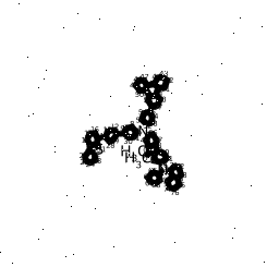 CC1(C)c2cc(N(c3ccc(-c4ccc(-c5cccc6c5sc5ccccc56)cc4)cc3)c3ccc(-c4ccc5c6ccccc6c6ccccc6c5c4)cc3)ccc2-c2ccc(N(c3ccccc3)c3cccc4ccccc34)cc21